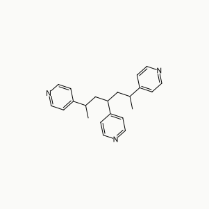 CC(CC(CC(C)c1ccncc1)c1ccncc1)c1ccncc1